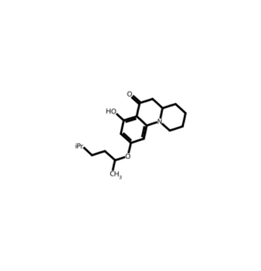 CC(C)CCC(C)Oc1cc(O)c2c(c1)N1CCCCC1CC2=O